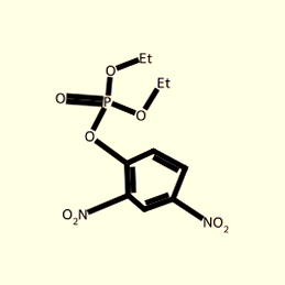 CCOP(=O)(OCC)Oc1ccc([N+](=O)[O-])cc1[N+](=O)[O-]